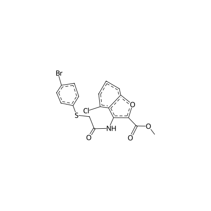 COC(=O)c1oc2cccc(Cl)c2c1NC(=O)CSc1ccc(Br)cc1